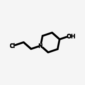 OC1CCN(CCCl)CC1